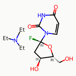 CCN(CC)CC.O=c1ccn([C@@]2(F)C[C@H](O)[C@@H](CO)O2)c(=O)[nH]1